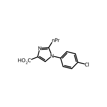 CCCc1nc(C(=O)O)cn1-c1ccc(Cl)cc1